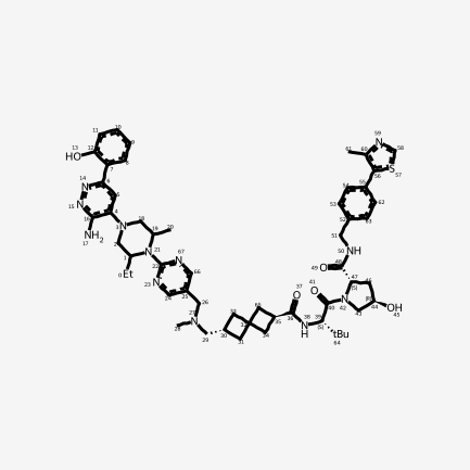 CCC1CN(c2cc(-c3ccccc3O)nnc2N)CC(C)N1c1ncc(CN(C)C[C@H]2CC3(C2)C[C@H](C(=O)N[C@H](C(=O)N2C[C@H](O)C[C@H]2C(=O)NCc2ccc(-c4scnc4C)cc2)C(C)(C)C)C3)cn1